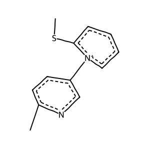 CSc1cccc[n+]1-c1ccc(C)nc1